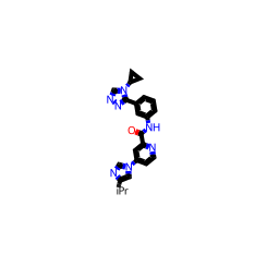 CC(C)c1cn(-c2ccnc(C(=O)Nc3cccc(-c4nncn4C4CC4)c3)c2)cn1